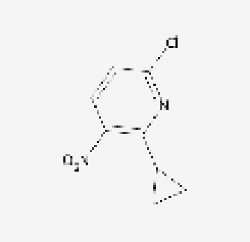 O=[N+]([O-])c1ccc(Cl)nc1C1CC1